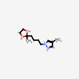 CC1(CCCCn2cc([N+](=O)[O-])cn2)OCCO1